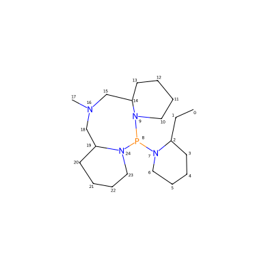 CCC1CCCCN1P1N2CCCCC2CN(C)CC2CCCCN21